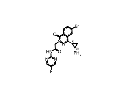 O=C(Cn1nc([C@H]2C[C@@H]2P)c2cc(Br)ccc2c1=O)Nc1ncc(F)cn1